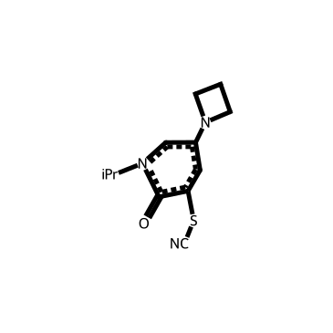 CC(C)n1cc(N2CCC2)cc(SC#N)c1=O